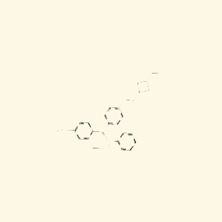 CC(C)COc1ccc2c(c1)CC[C@H](c1ccccc1)[C@@H]2c1ccc(OCC2CC(CO)C2)cc1